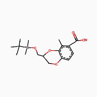 Cc1c(C(=O)O)ccc2c1OC(CO[Si](C)(C)C(C)(C)C)CO2